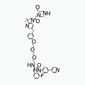 COC[C@H]1CN[C@H](C)CN1CC(=O)N1CC(C)(C)c2ncc(Cc3cccc(OCCOCCOCCNC(=Cc4cccc(F)c4)C(=O)Nc4ccc(-c5ccncc5)cc4)c3)cc21